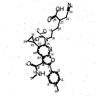 CNC(=O)c1c(-c2ccc(C)cc2)oc2nc(N(CCCC(CC#N)C(=O)O)S(C)(=O)=O)c(C3CC3)cc12